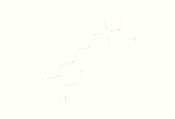 BC(C)S(C)(C)CCCc1ccc(O)c(OC)c1